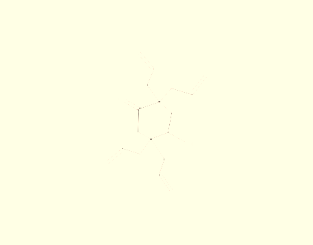 C=CCC1(CC=C)CC(O)C(CC=C)(CC=C)CC1=O